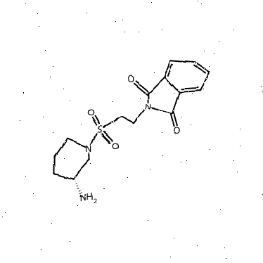 N[C@@H]1CCCN(S(=O)(=O)CCN2C(=O)c3ccccc3C2=O)C1